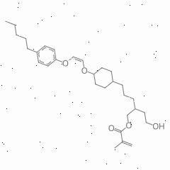 C=C(C)C(=O)OCC(CCO)CCCC1CCC(O/C=C\Oc2ccc(CCCCC)cc2)CC1